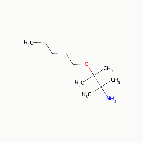 CCCCCOC(C)(C)C(C)(C)N